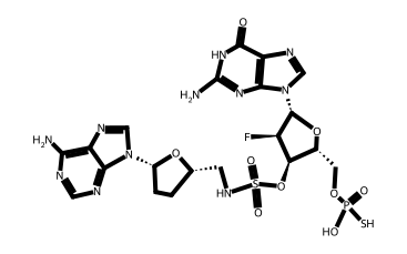 Nc1nc2c(ncn2[C@@H]2O[C@H](COP(=O)(O)S)[C@@H](OS(=O)(=O)NC[C@@H]3CC[C@H](n4cnc5c(N)ncnc54)O3)[C@H]2F)c(=O)[nH]1